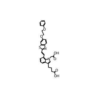 O=C(O)CCCc1cn(CC(=O)O)c2c(/C=C/c3nc4ccc(OCCOc5ccccc5)cc4s3)cccc12